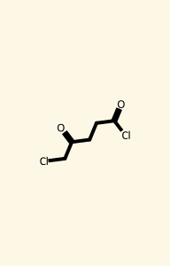 O=C(Cl)CCC(=O)CCl